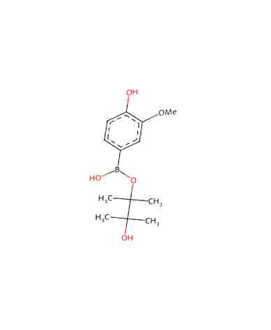 COc1cc(B(O)OC(C)(C)C(C)(C)O)ccc1O